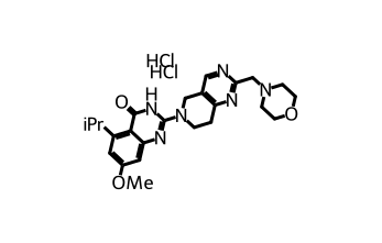 COc1cc(C(C)C)c2c(=O)[nH]c(N3CCc4nc(CN5CCOCC5)ncc4C3)nc2c1.Cl.Cl